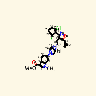 COC(=O)c1cn(C)c2cc(N3C[C@H]4C[C@@H]3CN4CCc3c(-c4c(Cl)cccc4Cl)noc3C3CC3)ccc12